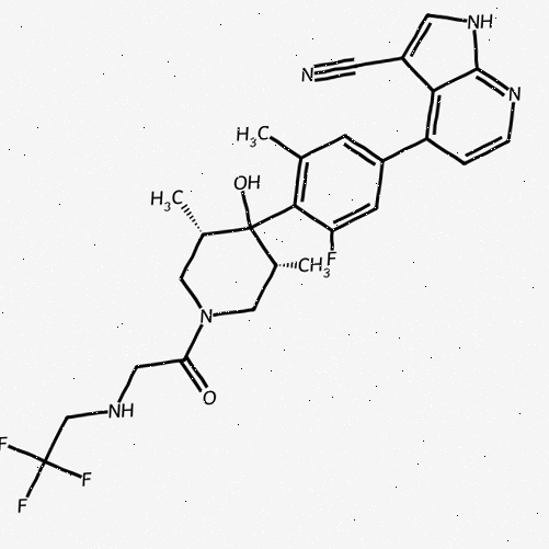 Cc1cc(-c2ccnc3[nH]cc(C#N)c23)cc(F)c1C1(O)[C@H](C)CN(C(=O)CNCC(F)(F)F)C[C@@H]1C